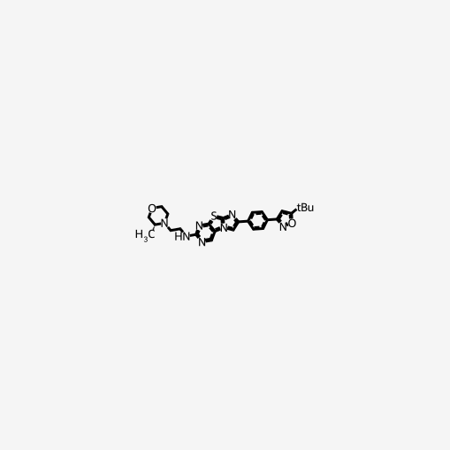 C[C@@H]1COCCN1CCNc1ncc2c(n1)sc1nc(-c3ccc(-c4cc(C(C)(C)C)on4)cc3)cn12